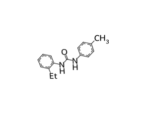 CCc1ccccc1NC(=O)Nc1ccc(C)cc1